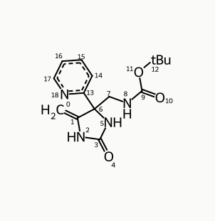 C=C1NC(=O)NC1(CNC(=O)OC(C)(C)C)c1ccccn1